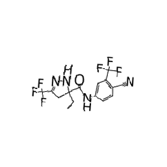 CCC1(C(=O)Nc2ccc(C#N)c(C(F)(F)F)c2)CC(C(F)(F)F)=NN1